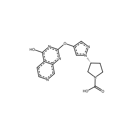 O=C(O)N1CC[C@@H](n2cc(Oc3nc(O)c4ccncc4n3)cn2)C1